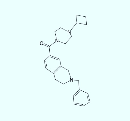 O=C(c1ccc2c(c1)CN(Cc1ccccc1)CC2)N1CCN(C2CCC2)CC1